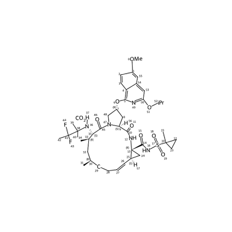 COc1ccc2c(O[C@@H]3C[C@H]4C(=O)N[C@]5(C(=O)NS(=O)(=O)C6(C)CC6)C[C@H]5C=CCC[C@@H](C)C[C@@H](C)[C@H](N(C(=O)O)C(C)(C)C(C)(F)F)C(=O)N4C3)nc(OC(C)C)cc2c1